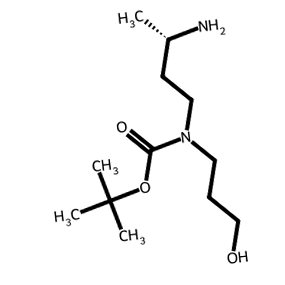 C[C@H](N)CCN(CCCO)C(=O)OC(C)(C)C